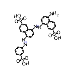 Nc1ccc(/N=N/c2ccc(/N=N/c3cccc(S(=O)(=O)O)c3)c3ccc(S(=O)(=O)O)cc23)c2cc(S(=O)(=O)O)ccc12